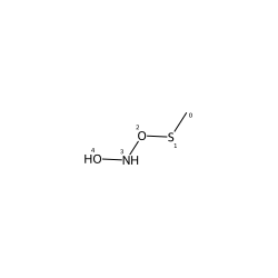 CSONO